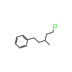 CC(CCCl)CCc1[c]cccc1